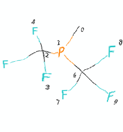 CP(C(F)(F)F)C(F)(F)F